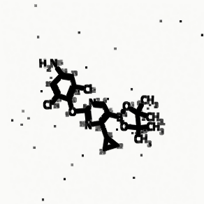 CC1(C)OB(c2cnc(Oc3c(Cl)cc(N)cc3Cl)nc2C2CC2)OC1(C)C